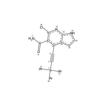 CC(C)[Si](C#Cc1c(C(N)=O)c(Cl)nc2[nH]ccc12)(C(C)C)C(C)C